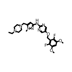 CCN1CCN(Cc2cc(Nc3ncc(OCc4c(F)c(OC)cc(OC)c4F)cn3)nn2C)CC1